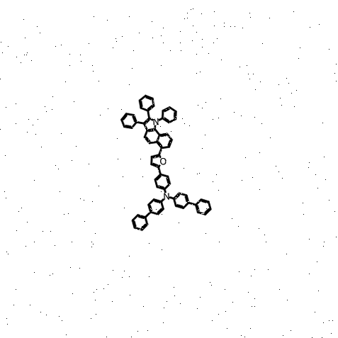 c1ccc(-c2ccc(N(c3ccc(-c4ccccc4)cc3)c3ccc(-c4ccc(-c5cccc6c5ccc5c(-c7ccccc7)c(-c7ccccc7)n(-c7ccccc7)c56)o4)cc3)cc2)cc1